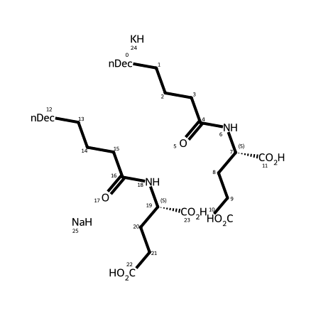 CCCCCCCCCCCCCC(=O)N[C@@H](CCC(=O)O)C(=O)O.CCCCCCCCCCCCCC(=O)N[C@@H](CCC(=O)O)C(=O)O.[KH].[NaH]